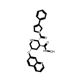 O=C(NO)[C@H]1C[C@H](Oc2ccc3cccnc3c2)CN[C@@H]1C(=O)N1CC=C(c2ccccc2)C1